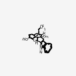 Oc1ccc2c3c1O[C@H]1c4[nH]c5ccccc5c4C[C@@]4(O)[C@@H](C2)N(CC(F)(F)F)CC[C@]314